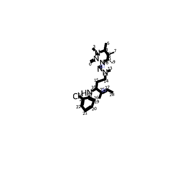 C=NN(C)C(C)[C@@H](C)[C@H](C)/N=N\N(C)CCC(Nc1ccccc1Cl)/C(C)=C/C